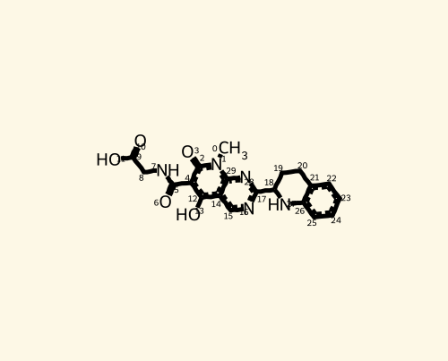 Cn1c(=O)c(C(=O)NCC(=O)O)c(O)c2cnc(C3CCc4ccccc4N3)nc21